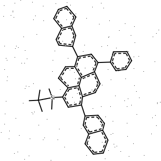 CC(C)(C)[Si](C)(C)c1cc(-c2ccc3ccccc3c2)c2ccc3c(-c4ccccc4)cc(-c4ccc5ccccc5c4)c4ccc1c2c34